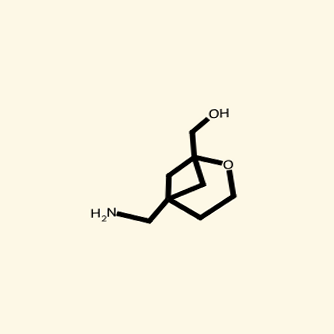 NCC12CCOC(CO)(C1)C2